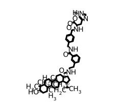 C=C(C)[C@@H]1CC[C@]2(C(=O)NCCc3cccc(C(=O)NCc4ccc(C(=O)NC(Cc5c[nH]cn5)C(=O)O)cc4)c3)CC[C@]3(C)C(CCC4[C@@]5(C)CC[C@H](O)C(C)(C)C5CC[C@]43C)C12